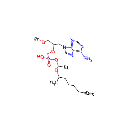 CCCCCCCCCCCCCCC(C)OC(CC)OP(=O)(O)COC(COC(C)C)Cn1cnc2c(N)ncnc21